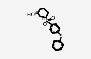 O=S(=O)(c1ccc(Sc2ccccc2)cc1)[C@@H]1CCC[C@H](O)C1